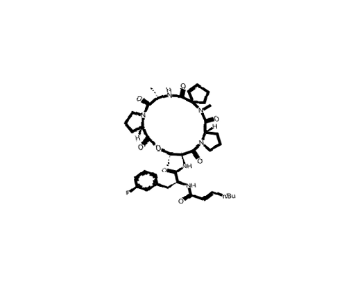 CCCC/C=C/C(=O)N[C@@H](Cc1cccc(F)c1)C(=O)N[C@@H]1C(=O)N2CCC[C@H]2C(=O)N(C)C2(CCCC2)C(=O)N[C@@H](C)C(=O)N2CCC[C@H]2C(=O)O[C@H]1C